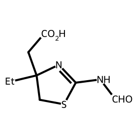 CCC1(CC(=O)O)CSC(NC=O)=N1